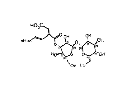 CCCCCCC=CC(CC(=O)O)C(=O)O[C@@H]1[C@@H](O)[C@@H](O[C@H]2O[C@H](CO)[C@@H](O)[C@H](O)[C@H]2O)O[C@H](CO)[C@H]1O